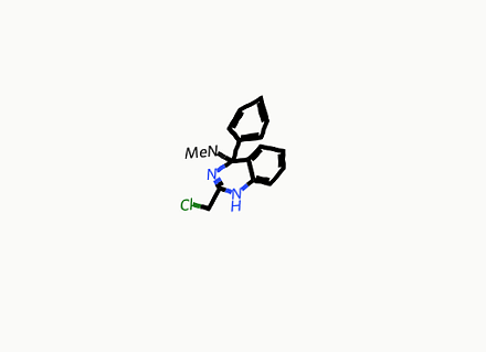 CNC1(c2ccccc2)N=C(CCl)Nc2ccccc21